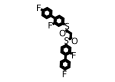 O=C(CC(=O)Sc1ccc(-c2ccc(F)cc2)c(F)c1)Sc1ccc(-c2ccc(F)cc2)c(F)c1